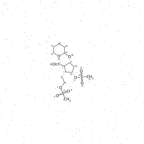 CCCCCCCCC1[C@@H](CCOS(C)(=O)=O)[C@@H](OS(C)(=O)=O)C[C@H]1OC1CCCCO1